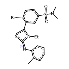 CCn1c(-c2cc(S(=O)(=O)N(C)C)ccc2Br)cs/c1=N/c1ccccc1C